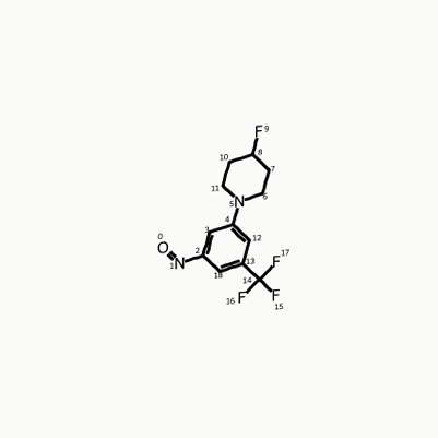 O=Nc1cc(N2CCC(F)CC2)cc(C(F)(F)F)c1